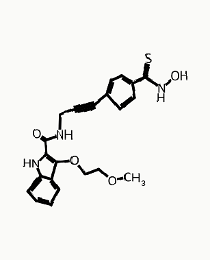 COCCOc1c(C(=O)NCC#Cc2ccc(C(=S)NO)cc2)[nH]c2ccccc12